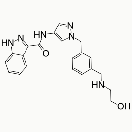 O=C(Nc1cnn(Cc2cccc(CNCCO)c2)c1)c1n[nH]c2ccccc12